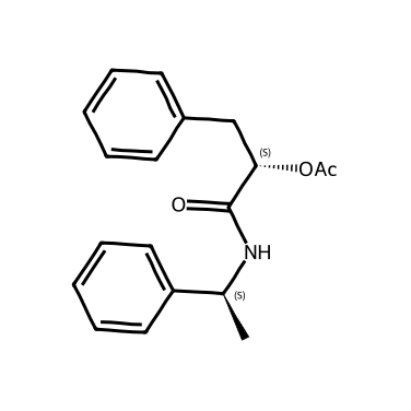 CC(=O)O[C@@H](Cc1ccccc1)C(=O)N[C@@H](C)c1ccccc1